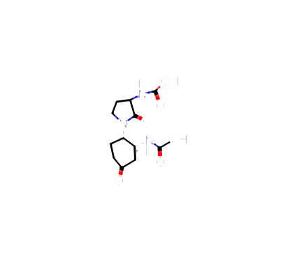 CC(=O)N[C@@H]1CC(=O)CC[C@@H]1N1CCC(NC(=O)O)C1=O